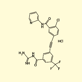 Cl.N=C(N)NC(=O)c1cc(C#Cc2ccc(Cl)c(C(=O)Nc3ccccn3)c2)cc(C(F)(F)F)c1